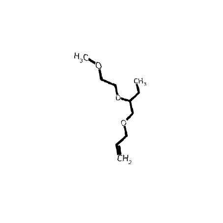 C=CCOCC(CC)OCCOC